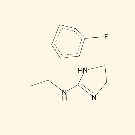 CCNC1=NCCN1.Fc1ccccc1